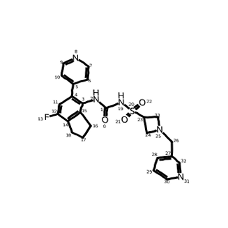 O=C(Nc1c(-c2ccncc2)cc(F)c2c1CCC2)NS(=O)(=O)C1CN(Cc2cccnc2)C1